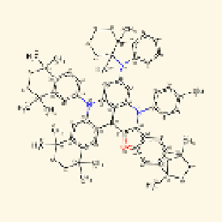 CC(C)(C)c1ccc(N2c3cc(N4c5ccccc5C5(C)CCCCC45C)cc4c3B(c3cc5c(cc3N4c3ccc4c(c3)C(C)(C)CCC4(C)C)C(C)(C)CCC5(C)C)c3oc4cc5c(cc4c32)C2(C)CCC5(C)C2)cc1